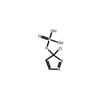 O=P(O)(O)OC1(Cl)C=CN=N1